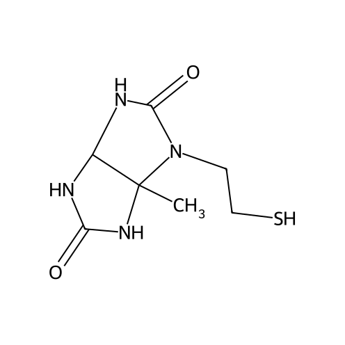 CC12NC(=O)NC1NC(=O)N2CCS